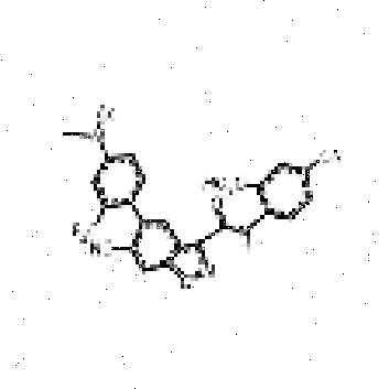 CC(=O)N(C)c1ccc(-c2cc3c(C(=O)Nc4ccc(C#N)cc4C(=O)O)noc3cc2C#N)c(C(F)(F)F)c1